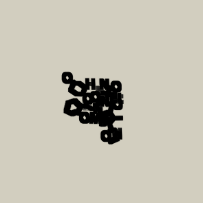 CCC(C)(C(N)=O)n1c(=O)c2c(C)c(-c3ncco3)sc2n(C[C@H](OC2CCC(=O)CC2)c2ccccc2OC)c1=O